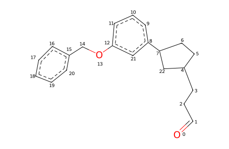 O=CCCC1CCC(c2cccc(OCc3ccccc3)c2)C1